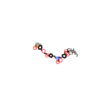 CC(C)[S+]([O-])c1cccc(COCCOc2ccc(CCN3C[C@@H](c4ccc5c(c4)COC(C)(C)O5)OC3=O)cc2)c1